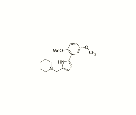 COc1ccc(OC(F)(F)F)cc1-c1ccc(CN2CCCCC2)[nH]1